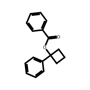 O=C(OC1(c2ccccc2)CCC1)c1ccccc1